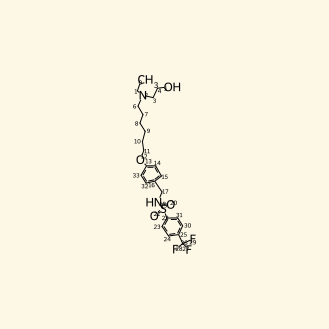 CCN(CCO)CCCCCCOc1ccc(CNS(=O)(=O)c2ccc(C(F)(F)F)cc2)cc1